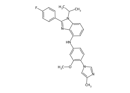 COc1cc(Nc2cccc3c2nc(-c2ccc(F)cc2)n3C(C)C)ccc1-n1cnc(C)c1